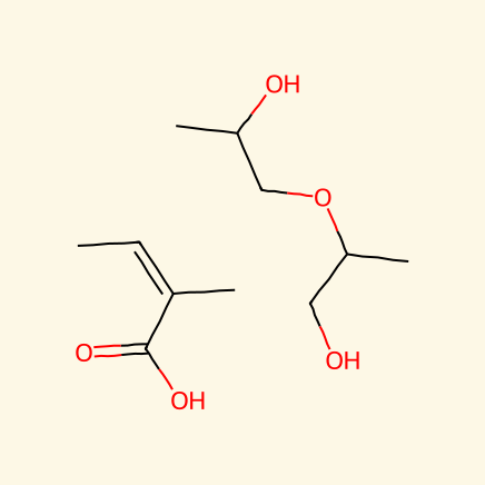 CC(O)COC(C)CO.CC=C(C)C(=O)O